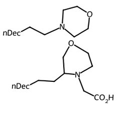 CCCCCCCCCCCCC1COCCN1CC(=O)O.CCCCCCCCCCCCN1CCOCC1